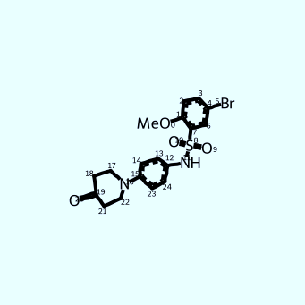 COc1ccc(Br)cc1S(=O)(=O)Nc1ccc(N2CCC(=O)CC2)cc1